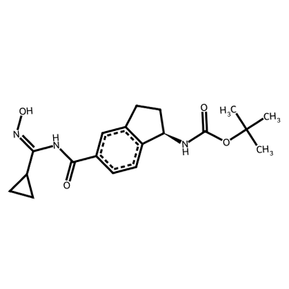 CC(C)(C)OC(=O)N[C@@H]1CCc2cc(C(=O)N/C(=N\O)C3CC3)ccc21